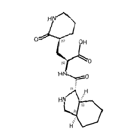 O=C1NCCC[C@H]1C[C@H](NC(=O)[C@H]1NC[C@@H]2CCCC[C@@H]21)C(=O)O